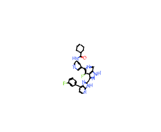 O=C(Nc1cncc(-c2ncc3[nH]nc(-c4nc5c(-c6cccc(F)c6)ccnc5[nH]4)c3c2F)c1)C1CCCCC1